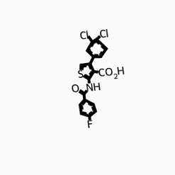 O=C(Nc1scc(-c2ccc(Cl)c(Cl)c2)c1C(=O)O)c1ccc(F)cc1